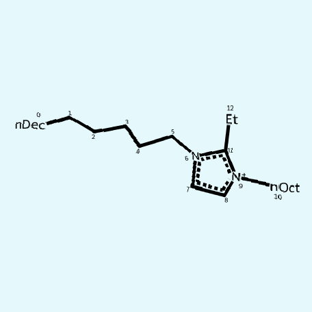 CCCCCCCCCCCCCCCn1cc[n+](CCCCCCCC)c1CC